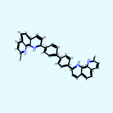 Cc1ccc2ccc3ccc(-c4ccc(-c5ccc(-c6ccc7ccc8ccc(C)nc8c7n6)cc5)cc4)nc3c2n1